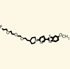 COc1ccc2nc(-c3ccc(N4CCC(CCOCCOCCOCCF)CC4)nc3)sc2c1